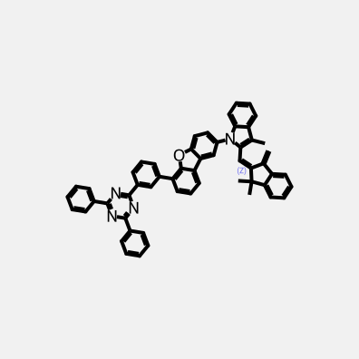 C=C1/C(=C\c2c(C)c3ccccc3n2-c2ccc3oc4c(-c5cccc(-c6nc(-c7ccccc7)nc(-c7ccccc7)n6)c5)cccc4c3c2)C(C)(C)c2ccccc21